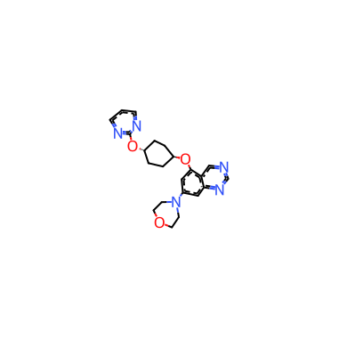 c1cnc(O[C@H]2CC[C@H](Oc3cc(N4CCOCC4)cc4ncncc34)CC2)nc1